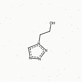 OCCn1[c]nnn1